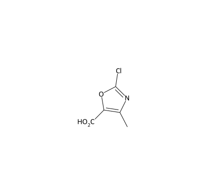 Cc1nc(Cl)oc1C(=O)O